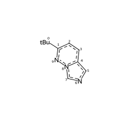 CC(C)(C)c1ccc2cncn2n1